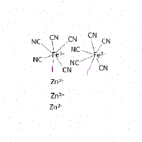 N#[C][Fe-3]([I])([C]#N)([C]#N)([C]#N)[C]#N.N#[C][Fe-3]([I])([C]#N)([C]#N)([C]#N)[C]#N.[Zn+2].[Zn+2].[Zn+2]